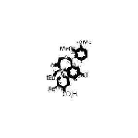 COc1cccc([C@H]2OCC(=O)[N+](CC(C)(C)C)(N3CCC(C(=O)O)[C@@H](C(C)=O)C3)c3ccc(Cl)cc32)c1OC